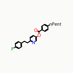 CCCCCc1ccc(C(=O)Oc2ccc(CCc3ccc(F)cc3)nc2)cc1